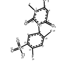 Cn1c(C(F)(F)F)cc(=O)n(-c2cc(S(=O)(=O)Cl)c(F)cc2F)c1=O